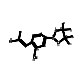 CCC(C)=Cc1ccc(B2OC(C)(C)C(C)(C)O2)cc1C#N